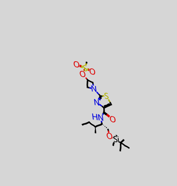 CC[C@H](C)[C@@H](CO[Si](C)(C)C(C)(C)C)NC(=O)c1csc(N2CC(OS(C)(=O)=O)C2)n1